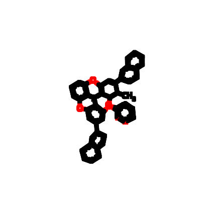 CC1C(c2ccc3ccccc3c2)=CC2=C(B3c4c(cccc4Oc4cc(-c5ccc6ccccc6c5)cc(Oc5ccccc5)c43)O2)C1Oc1ccccc1